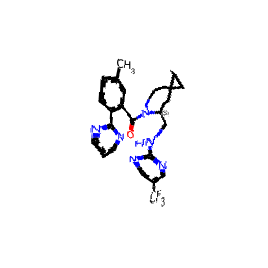 Cc1ccc(-c2ncccn2)c(C(=O)N2CC3(CC3)C[C@H]2CNc2ncc(C(F)(F)F)cn2)c1